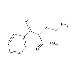 CC(=O)OC(=O)C(CCN)C(=O)c1ccccc1